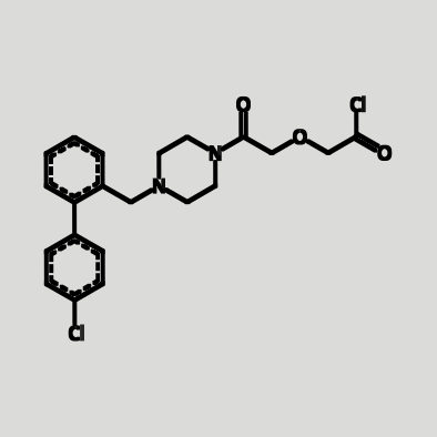 O=C(Cl)COCC(=O)N1CCN(Cc2ccccc2-c2ccc(Cl)cc2)CC1